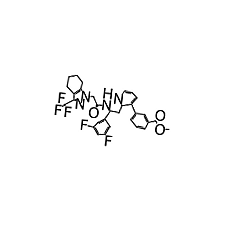 COC(=O)c1cccc(-c2cccnc2CC(NC(=O)Cn2nc(C(F)(F)F)c3c2CCCC3)c2cc(F)cc(F)c2)c1